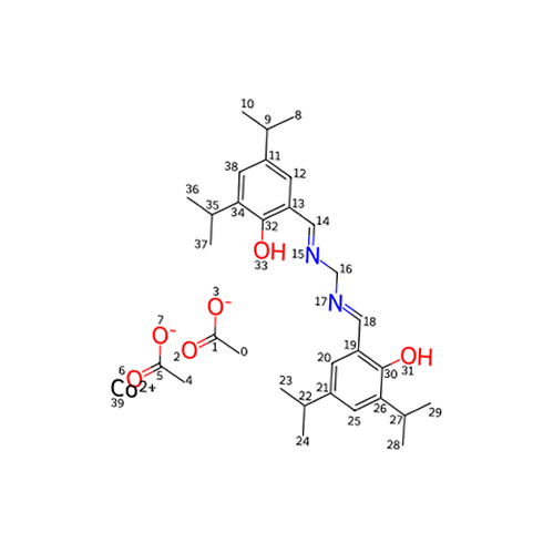 CC(=O)[O-].CC(=O)[O-].CC(C)c1cc(C=NCN=Cc2cc(C(C)C)cc(C(C)C)c2O)c(O)c(C(C)C)c1.[Co+2]